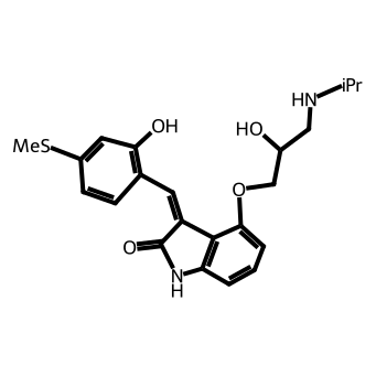 CSc1ccc(C=C2C(=O)Nc3cccc(OCC(O)CNC(C)C)c32)c(O)c1